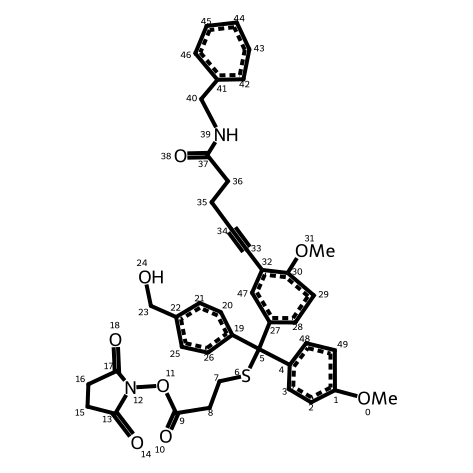 COc1ccc(C(SCCC(=O)ON2C(=O)CCC2=O)(c2ccc(CO)cc2)c2ccc(OC)c(C#CCCC(=O)NCc3ccccc3)c2)cc1